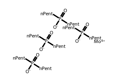 CCCCCP(=O)([O-])CCCCC.CCCCCP(=O)([O-])CCCCC.CCCCCP(=O)([O-])CCCCC.CCCCCP(=O)([O-])CCCCC.[Mo+4]